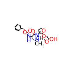 CC(C)C[C@H](NC(=O)OCc1ccccc1)C(=O)N[C@H]1CCOC1OCC(=O)O